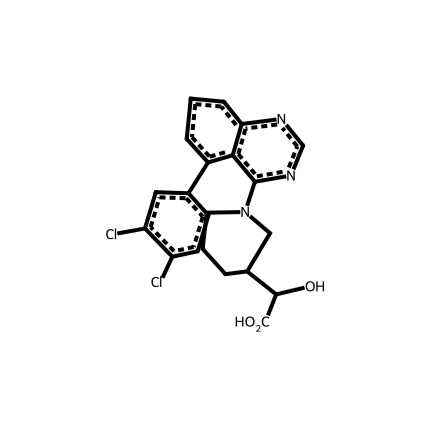 O=C(O)C(O)C1CCCN(c2ncnc3cccc(-c4ccc(Cl)c(Cl)c4)c23)C1